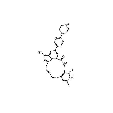 Cc1cc2c(c(=O)[nH]1)CNC(=O)c1cc(-c3ccc(N4CCNCC4)nc3)cc3c1c(cn3C(C)C)C/C=C/CC2